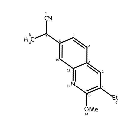 CCc1cc2ccc(C(C)C#N)cc2nc1OC